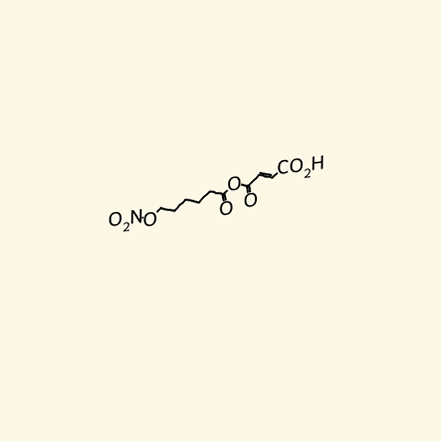 O=C(O)/C=C/C(=O)OC(=O)CCCCCO[N+](=O)[O-]